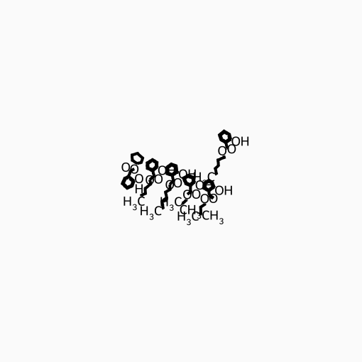 CC(C)CCOC(=O)c1ccccc1O.CC(C)COC(=O)c1ccccc1O.CCC=CCCOC(=O)c1ccccc1O.CCCCCCOC(=O)c1ccccc1O.CCCCCOC(=O)c1ccccc1O.O=C(OC1CCCCC1)c1ccccc1O